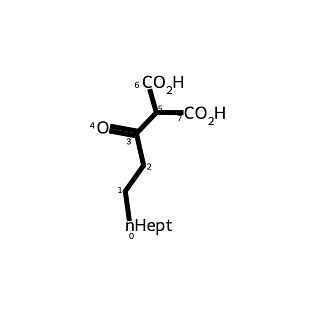 CCCCCCCCCC(=O)C(C(=O)O)C(=O)O